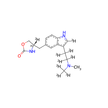 [2H]c1[nH]c2ccc(C[C@@]3([2H])COC(=O)N3)cc2c1C([2H])([2H])C([2H])([2H])N(C)C([2H])([2H])[2H]